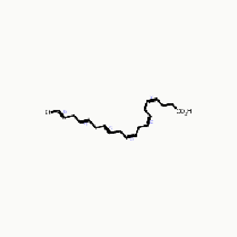 CC/C=C/C/C=C/C/C=C/C/C=C\C/C=C\C/C=C\CCC(=O)O